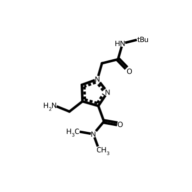 CN(C)C(=O)c1nn(CC(=O)NC(C)(C)C)cc1CN